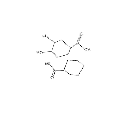 O=C(O)C1CCC(O)C(Cl)C1.O=C(O)C1CCCCC1